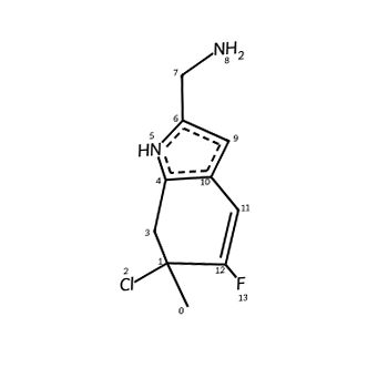 CC1(Cl)Cc2[nH]c(CN)cc2C=C1F